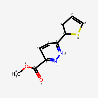 COC(=O)c1ccc(C2CC=CS2)nn1